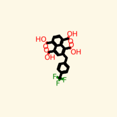 O=C(O)c1ccc(C(=O)O)c2c(C(=O)O)c(Cc3ccc(C(F)(F)F)cc3)cc(C(=O)O)c12